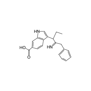 CCC(C(=N)Cc1ccccc1)c1c[nH]c2cc(C(=O)O)ccc12